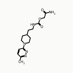 Cc1ccc(N2CCC(CCNC(=O)OCC(N)=O)CC2)nn1